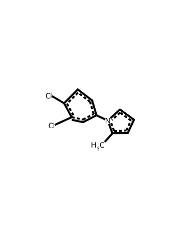 Cc1cccn1-c1ccc(Cl)c(Cl)c1